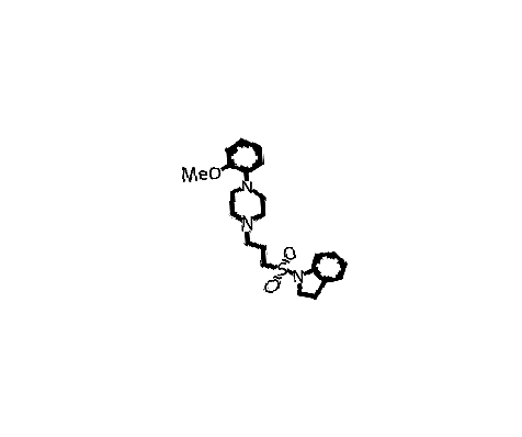 COc1ccccc1N1CCN(CCCS(=O)(=O)N2CCc3ccccc32)CC1